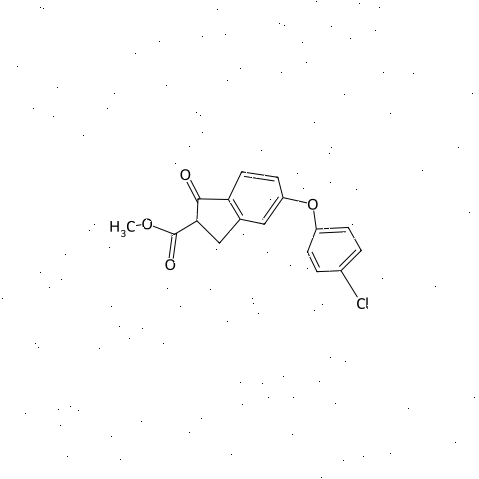 COC(=O)C1Cc2cc(Oc3ccc(Cl)cc3)ccc2C1=O